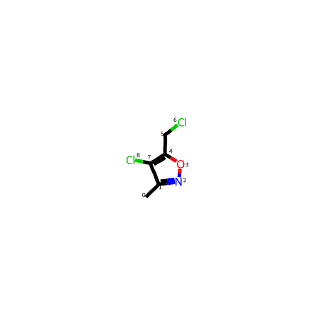 Cc1noc(CCl)c1Cl